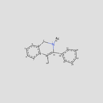 CC(=O)N1Cc2ccccc2C(C)=C1c1ccccc1